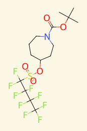 CC(C)(C)OC(=O)N1CCCC(OS(=O)(=O)C(F)(F)C(F)(F)C(F)(F)C(F)(F)F)CC1